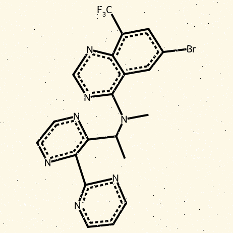 CC(c1nccnc1-c1ncccn1)N(C)c1ncnc2c(C(F)(F)F)cc(Br)cc12